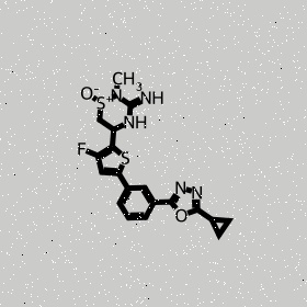 CN1C(=N)NC(c2sc(-c3cccc(-c4nnc(C5CC5)o4)c3)cc2F)C[S+]1[O-]